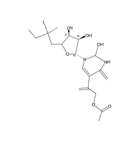 C=C(COC(C)=O)C1=CN([C@@H]2OC(CC(C)(I)CC)[C@@H](O)[C@H]2O)C(O)NC1=C